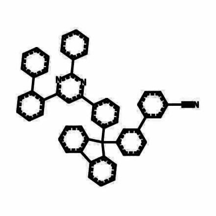 N#Cc1cccc(-c2cccc(C3(c4cccc(-c5cc(-c6ccccc6-c6ccccc6)nc(-c6ccccc6)n5)c4)c4ccccc4-c4ccccc43)c2)c1